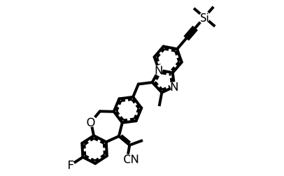 CC(C#N)=C1c2ccc(Cc3c(C)nc4cc(C#C[Si](C)(C)C)ccn34)cc2COc2cc(F)ccc21